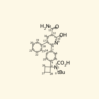 CC(C)(C)N(C(=O)O)C1(c2ccc(-c3nc(O)c(C(N)=O)cc3-c3ccccc3)cc2)CCC1